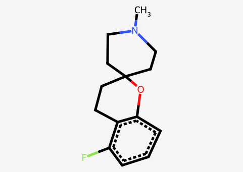 CN1CCC2(CCc3c(F)cccc3O2)CC1